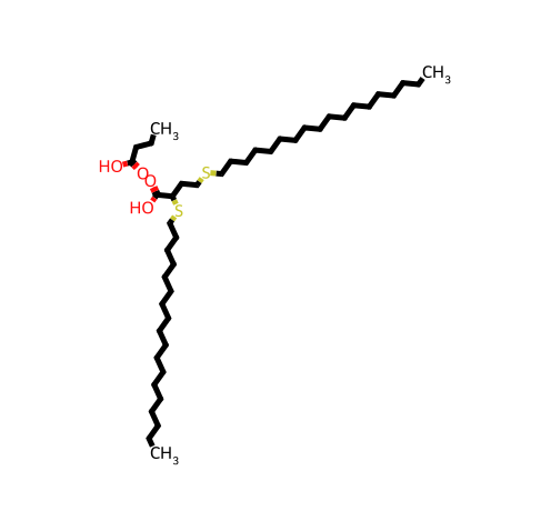 CCCC(=O)O.CCCCCCCCCCCCCCCCCCSCCC(SCCCCCCCCCCCCCCCCCC)C(=O)O